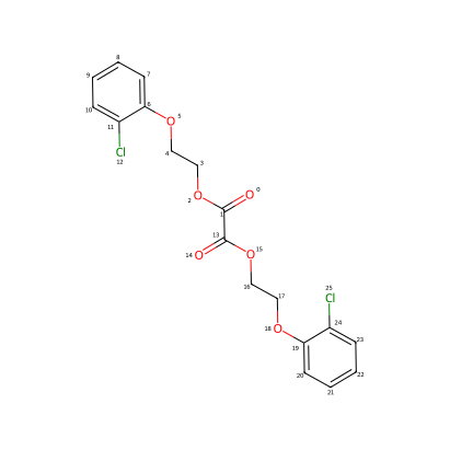 O=C(OCCOc1ccccc1Cl)C(=O)OCCOc1ccccc1Cl